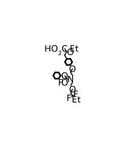 CCOC(Cc1ccc(OCCN(CCOCC(F)(F)CC)C(=O)Oc2ccccc2F)cc1)C(=O)O